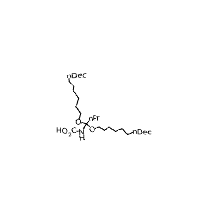 CCCCCCCCCCCCCCCCOC(CCC)(NC(=O)O)OCCCCCCCCCCCCCCCC